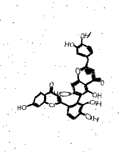 O=c1cc(-c2ccc(O)c(O)c2-c2c(O)cc3oc(-c4ccc(O)c(O)c4)cc(=O)c3c2O)oc2cc(O)ccc12